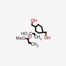 C=CC(=O)O.C=CC(=O)OC.OCC1CCC(CO)CC1